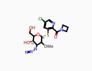 COC1C(N=[N+]=[N-])[C@@H](O)C(CO)O[C@@H]1Sc1cc(Cl)cnc1C(=O)N1CCC1